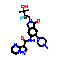 CN1CCN(c2cc3c(cc2NC(=O)c2cnn4cccnc24)CN(C[C@@H](F)C(C)(C)O)C3=O)CC1